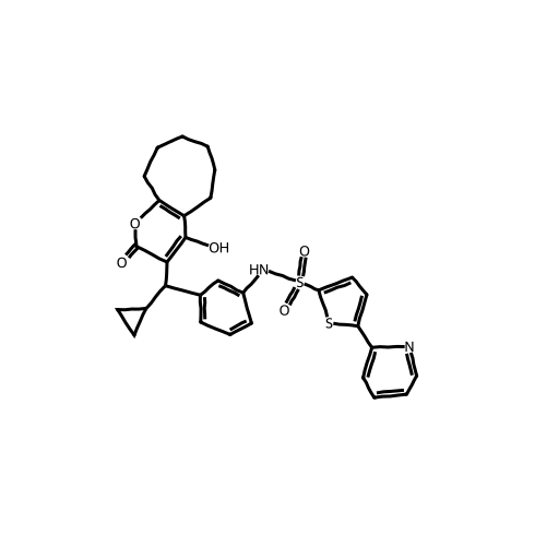 O=c1oc2c(c(O)c1C(c1cccc(NS(=O)(=O)c3ccc(-c4ccccn4)s3)c1)C1CC1)CCCCCC2